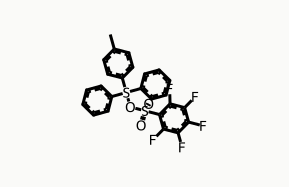 Cc1ccc(S(OS(=O)(=O)c2c(F)c(F)c(F)c(F)c2F)(c2ccccc2)c2ccccc2)cc1